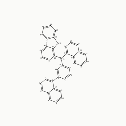 c1cc(-c2cccc3ccccc23)cc(N(c2cccc3ccccc23)c2cccc3c2sc2ccccc23)c1